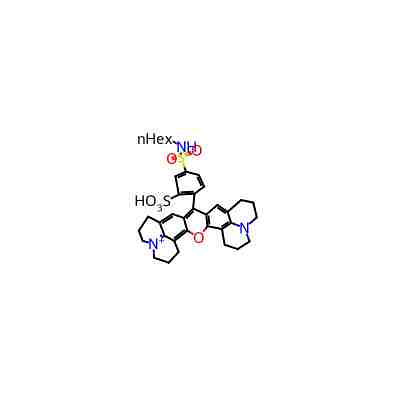 CCCCCCNS(=O)(=O)c1ccc(C2=c3cc4c5c(c3Oc3c2cc2c6c3CCCN6CCC2)CCC[N+]=5CCC4)c(S(=O)(=O)O)c1